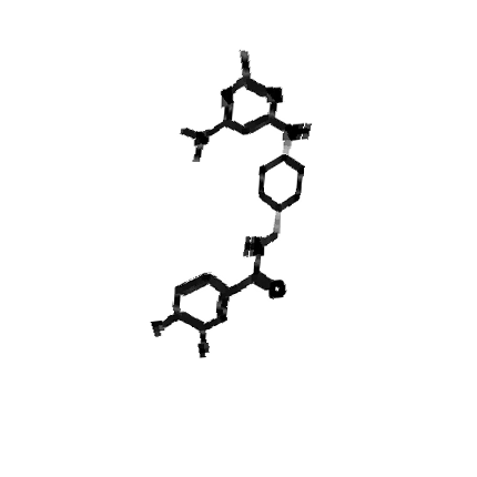 Cc1nc(N[C@H]2CC[C@@H](CNC(=O)c3ccc(F)c(F)c3)CC2)cc(N(C)C)n1